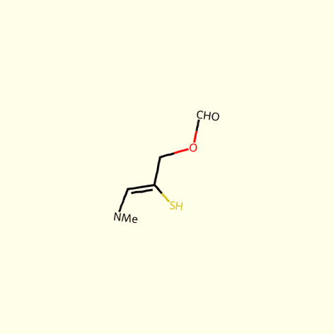 CN/C=C(\S)COC=O